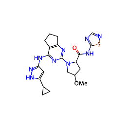 COC1CC(C(=O)Nc2ncns2)N(c2nc3c(c(Nc4cc(C5CC5)[nH]n4)n2)CCC3)C1